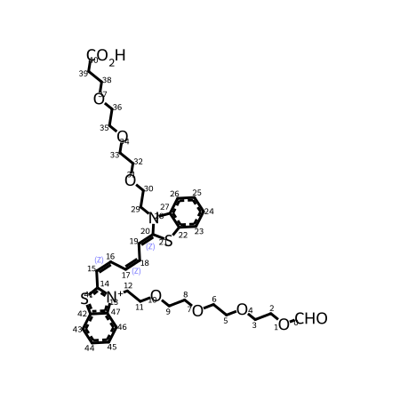 O=COCCOCCOCCOCC[n+]1c(\C=C/C=C\C=C2/Sc3ccccc3N2CCOCCOCCOCCC(=O)O)sc2ccccc21